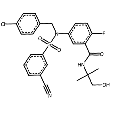 CC(C)(CO)NC(=O)c1cc(N(Cc2ccc(Cl)cc2)S(=O)(=O)c2cccc(C#N)c2)ccc1F